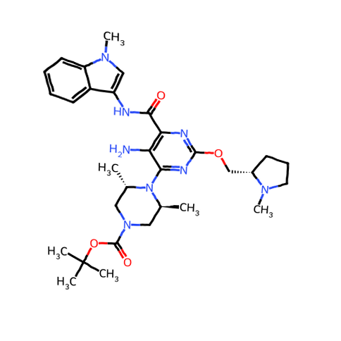 C[C@H]1CN(C(=O)OC(C)(C)C)C[C@H](C)N1c1nc(OC[C@@H]2CCCN2C)nc(C(=O)Nc2cn(C)c3ccccc23)c1N